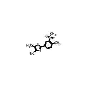 Cc1ccc(-c2nc(C#N)c(C)s2)cc1S(C)(=O)=O